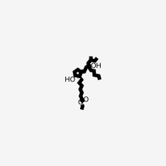 CCCCCC(O)(CC=C1CC[C@@H](O)[C@@H]1CCCCCCC(=O)OCC)CC(C)CC